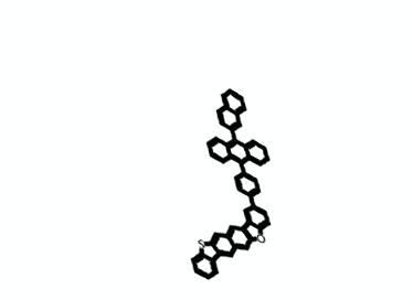 C1=c2c(-c3ccc(-c4ccc5oc6cc7cc8c(cc7cc6c5c4)sc4ccccc48)cc3)c3ccccc3c(-c3ccc4ccccc4c3)c2=CCC1